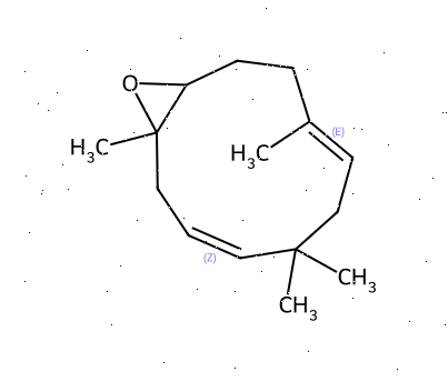 C/C1=C\CC(C)(C)/C=C\CC2(C)OC2CC1